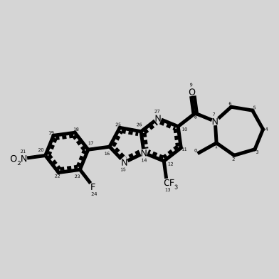 CC1CCCCCN1C(=O)c1cc(C(F)(F)F)n2nc(-c3ccc([N+](=O)[O-])cc3F)cc2n1